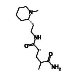 CC(C[CH]C(=O)NCC[C@@H]1CCCCN1C)C(N)=O